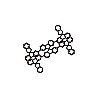 c1ccc2c(c1)CC1(C2)c2ccccc2-c2ccc(-c3ccc4c(c3)C3(c5cc(-c6ccc7c(c6)C6(Cc8ccccc8C6)c6ccccc6-7)ccc5-4)c4cc(-c5ccc6c(c5)C5(Cc7ccccc7C5)c5ccccc5-6)ccc4-c4ccc(-c5ccc6c(c5)C5(Cc7ccccc7C5)c5ccccc5-6)cc43)cc21